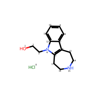 Cl.OCCn1c2c(c3ccccc31)CCNCC2